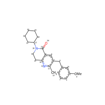 COc1cccc(Cc2cc3c(nc2C)CCN(C2CCCCC2)C3=O)c1